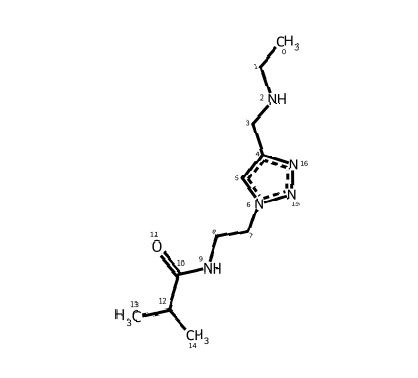 CCNCc1cn(CCNC(=O)C(C)C)nn1